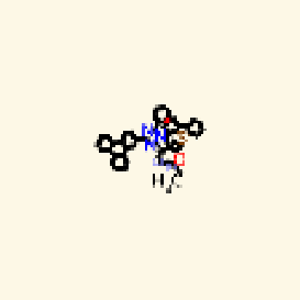 CC/C1=C\C=C/[C@@H](c2nc(-c3ccccc3)nc(-c3ccc4c5ccccc5c5ccccc5c4c3)n2)C2(Cc3cccc4c3sc3ccccc34)C=CC2O1